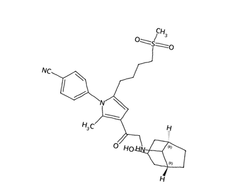 Cc1c(C(=O)CNC2[C@@H]3CC[C@@H]2CC(O)C3)cc(CCCCS(C)(=O)=O)n1-c1ccc(C#N)cc1